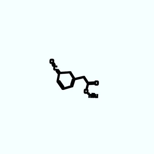 CCCCOC(=O)CC1=CC=CC(=C=O)C1